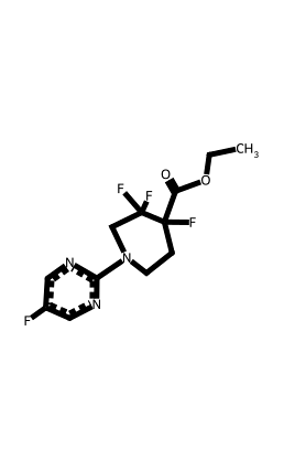 CCOC(=O)C1(F)CCN(c2ncc(F)cn2)CC1(F)F